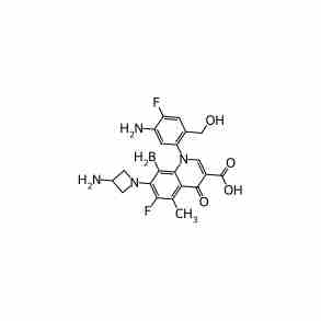 Bc1c(N2CC(N)C2)c(F)c(C)c2c(=O)c(C(=O)O)cn(-c3cc(N)c(F)cc3CO)c12